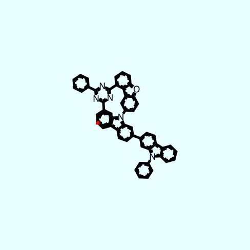 c1ccc(-c2nc(-c3ccccc3)nc(-c3cccc4oc5ccc(-n6c7ccccc7c7ccc(-c8ccc9c%10ccccc%10n(-c%10ccccc%10)c9c8)cc76)cc5c34)n2)cc1